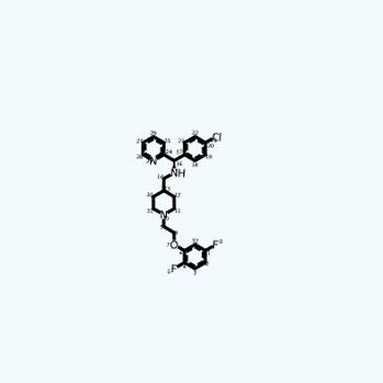 Fc1ccc(F)c(OCCN2CCC(CN[C@H](c3ccc(Cl)cc3)c3ccccn3)CC2)c1